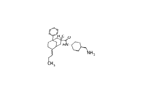 CC/C=C1\CCC2(c3ccccc3)CC1CC(C)(C(=O)N[C@H]1CC[C@H](CN)CC1)C2